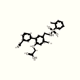 Cc1ccccc1S(=O)(=O)NCc1cc(-c2cccc(C#N)c2)c(OCC(=O)O)cc1F